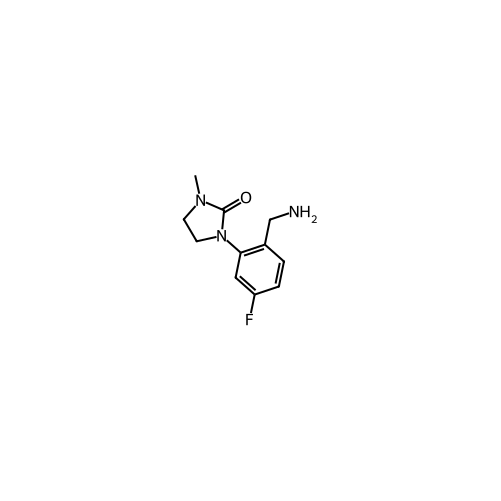 CN1CCN(c2cc(F)ccc2CN)C1=O